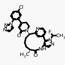 CC(F)n1ncc2c1-c1ccnc(c1)[C@@H](N1CCC(c3cc(Cl)ccc3-n3ccnn3)=CC1=O)CCC[C@@H](C)C(=O)N2